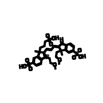 COCC[N+]1=C(/C=C/C=C2/Nc3ccc(S(=O)(=O)O)cc3C2(C)CCOC)C(C)(CCCS(=O)(=O)O)c2cc(S(=O)(=O)O)ccc21